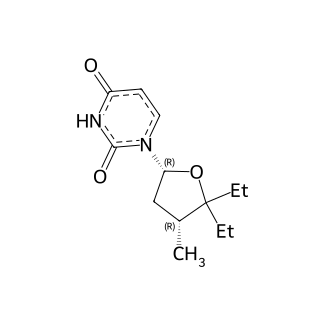 CCC1(CC)O[C@@H](n2ccc(=O)[nH]c2=O)C[C@H]1C